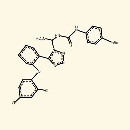 CCCCc1ccc(NC(=S)NC(C(=O)O)n2nnnc2-c2ccccc2Oc2ccc(Cl)cc2Cl)cc1